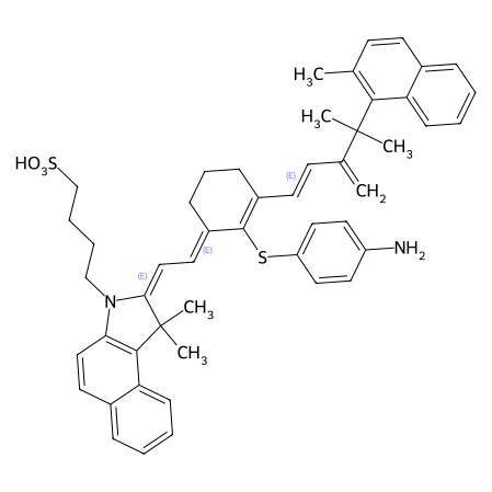 C=C(/C=C/C1=C(Sc2ccc(N)cc2)C(=C/C=C2/N(CCCCS(=O)(=O)O)c3ccc4ccccc4c3C2(C)C)/CCC1)C(C)(C)c1c(C)ccc2ccccc12